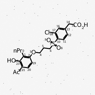 CCCc1c(OCCCS(=O)(=O)c2ccc(CC(=O)O)cc2Cl)ccc(C(C)=O)c1O